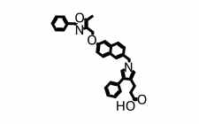 Cc1oc(-c2ccccc2)nc1COc1ccc2cc(Cn3cc(CCC(=O)O)c(-c4ccccc4)c3)ccc2c1